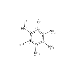 CNc1[n+]([O-])c(N)c(N)c(N)[n+]1[O-]